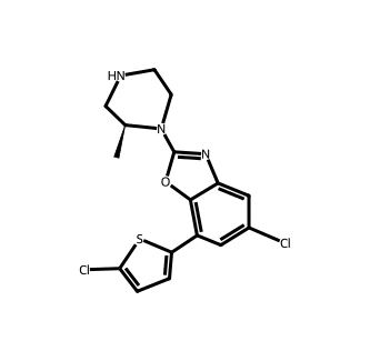 C[C@H]1CNCCN1c1nc2cc(Cl)cc(-c3ccc(Cl)s3)c2o1